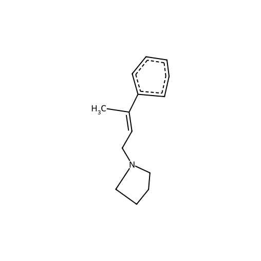 CC(=CCN1CCCC1)c1ccccc1